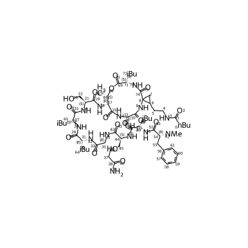 CCCCC(=O)NCCC1CC12NC(=O)[C@H](C)NC(=O)[C@H](NC(=O)[C@H](CO)NC(=O)[C@@H](NC(=O)[C@H](NC(=O)[C@@H](CCC(N)=O)NC(=O)[C@H](CO)NC(=O)[C@@H](NC(=O)[C@@H](Cc1ccccc1)NC)[C@@H](C)CC)[C@@H](C)CC)[C@@H](C)CC)[C@H](C)OC(=O)[C@H]([C@@H](C)CC)NC2=O